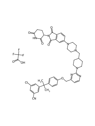 CC(C)(c1ccc(OCc2ccnc(N3CCC(CN4CCN(c5ccc6c(c5)C(=O)N(C5CCC(=O)NC5=O)C6=O)CC4)CC3)n2)cc1)c1cc(Cl)cc(C#N)c1.O=C(O)C(F)(F)F